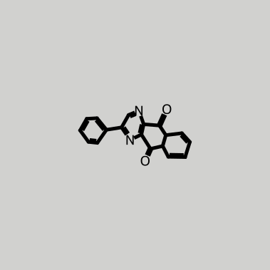 O=C1c2ncc(-c3ccccc3)nc2C(=O)C2C=CC=CC12